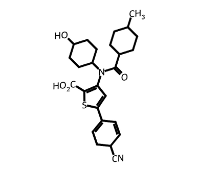 CC1CCC(C(=O)N(c2cc(C3=CCC(C#N)C=C3)sc2C(=O)O)C2CCC(O)CC2)CC1